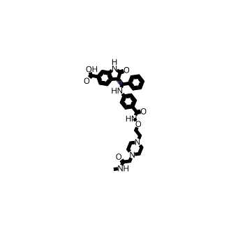 CNC(=O)CN1CCN(CCONC(=O)c2ccc(N/C(=C3/C(=O)Nc4cc(C(=O)O)ccc43)c3ccccc3)cc2)CC1